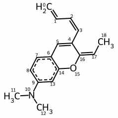 C=C/C=C\C1=Cc2ccc(N(C)C)cc2O/C1=C/C